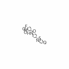 COc1ccc2nc(-c3ccc(NC(=O)c4ccc(F)c([N+](=O)[O-])c4)cc3)sc2c1